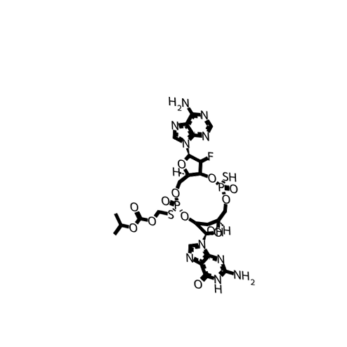 CC(C)OC(=O)OCSP1(=O)OC[C@H]2O[C@@H](n3cnc4c(N)ncnc43)C(F)C2OP(=O)(S)OC[C@H]2O[C@@H](n3cnc4c(=O)[nH]c(N)nc43)C(O1)C2O